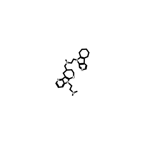 CN(C)CCn1c2c(c3ncccc31)CC(CN(C)CCn1c3c(c4ccncc41)CCCCC3)CCO2